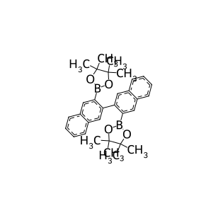 CC1(C)OB(c2cc3ccccc3cc2-c2cc3ccccc3cc2B2OC(C)(C)C(C)(C)O2)OC1(C)C